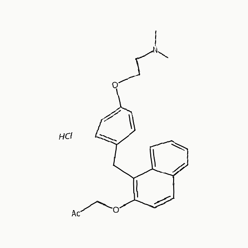 CC(=O)COc1ccc2ccccc2c1Cc1ccc(OCCN(C)C)cc1.Cl